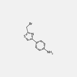 Nc1ccc(-c2csc(CBr)n2)cc1